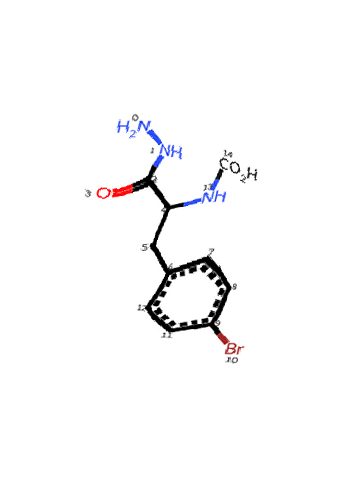 NNC(=O)C(Cc1ccc(Br)cc1)NC(=O)O